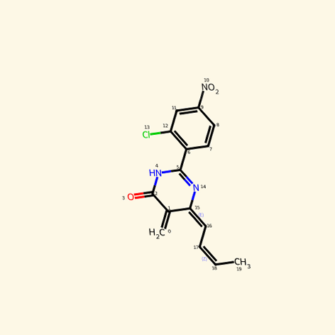 C=c1c(=O)[nH]c(-c2ccc([N+](=O)[O-])cc2Cl)n/c1=C/C=C\C